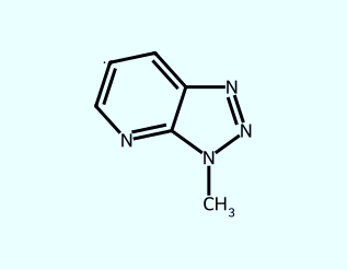 Cn1nnc2c[c]cnc21